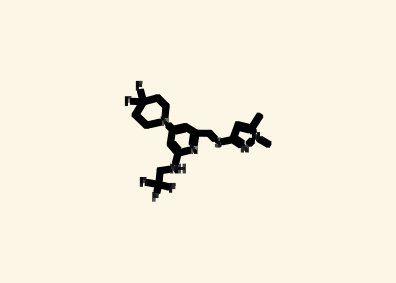 Cc1cc(SCc2cc(N3CCC(F)(F)CC3)cc(NCC(F)(F)F)n2)nn1C